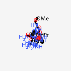 COC(C)(C)COC(C)(C)CCNCCC(=O)N[C@@H](C)C(=O)N[C@@H](Cc1cccc2ccccc12)C(=O)N[C@@H](CC(C)C)C(=O)N[C@@H](Cc1ccccc1)C(=O)N[C@@H](CCCNC(=N)N)C(=O)N1CCC[C@H]1C(=O)N[C@@H](CCCNC(=N)N)C(=O)N[C@H](C=O)CC(N)=O